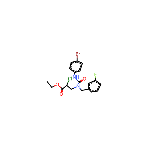 CCOC(=O)C(Cl)CN(Cc1cccc(F)c1)C(=O)Nc1ccc(Br)cc1